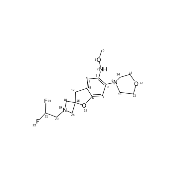 CONc1cc2c(cc1N1CCOCC1)OC1(C2)CN(CC(F)F)C1